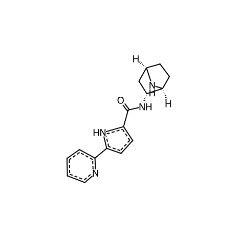 O=C(N[C@@H]1C[C@H]2CC[C@@H]1N2)c1ccc(-c2ccccn2)[nH]1